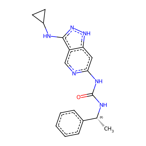 C[C@@H](NC(=O)Nc1cc2[nH]nc(NC3CC3)c2cn1)c1ccccc1